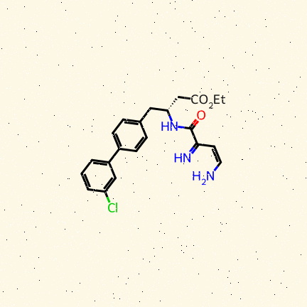 CCOC(=O)C[C@@H](Cc1ccc(-c2cccc(Cl)c2)cc1)NC(=O)C(=N)/C=C\N